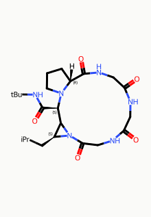 CC(C)C[C@H]1C2[C@@H](C(=O)NC(C)(C)C)N3CCC[C@@H]3C(=O)NCC(=O)NCC(=O)NCC(=O)N21